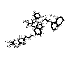 C[C@@H](COc1ccnc2c1[C@H](C)CCC2)C[C@H]1Cc2ccc(OCCCC(=O)N[C@H](CC(C)(C)C)C(=O)O)cc2C12CCC(Nc1cccc(Cl)c1)(C(=O)O)CC2